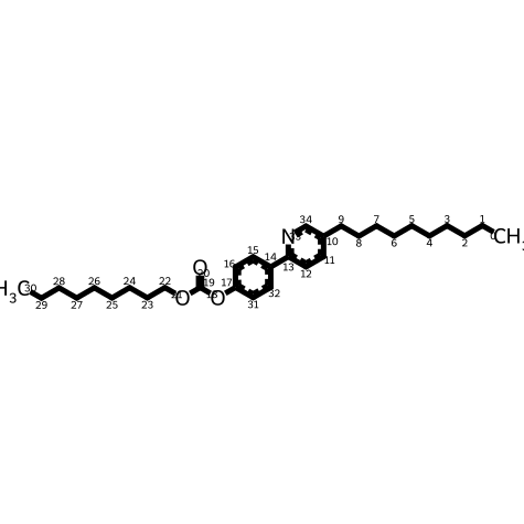 CCCCCCCCCCc1ccc(-c2ccc(OC(=O)OCCCCCCCCC)cc2)nc1